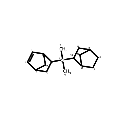 C[Si](C)(C1CC2C=CC1C2)C1CC2CCC1C2